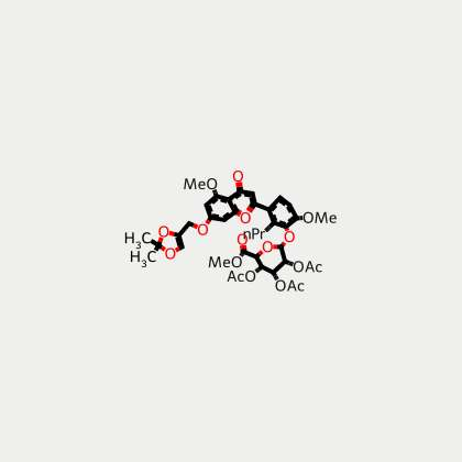 CCCc1c(-c2cc(=O)c3c(OC)cc(OCC4=COC(C)(C)O4)cc3o2)ccc(OC)c1OC1OC(C(=O)OC)C(OC(C)=O)C(OC(C)=O)C1OC(C)=O